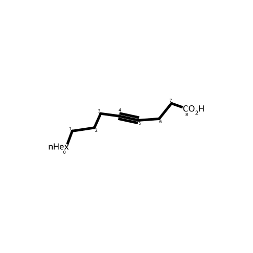 CCCCCCCCCC#CCCC(=O)O